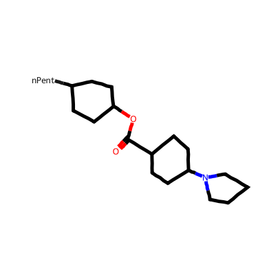 CCCCCC1CCC(OC(=O)C2CCC(N3CCCC3)CC2)CC1